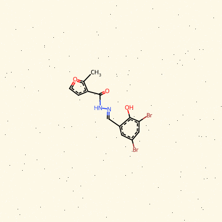 Cc1occc1C(=O)NN=Cc1cc(Br)cc(Br)c1O